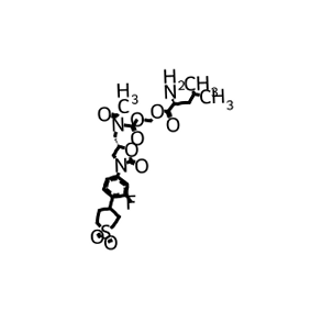 CC(=O)N(C[C@H]1CN(c2ccc(C3CCS(=O)(=O)CC3)c(F)c2)C(=O)O1)C(=O)OCOC(=O)[C@@H](N)CC(C)C